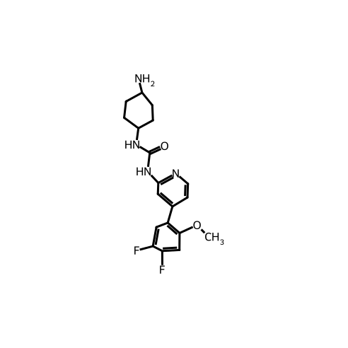 COc1cc(F)c(F)cc1-c1ccnc(NC(=O)NC2CCC(N)CC2)c1